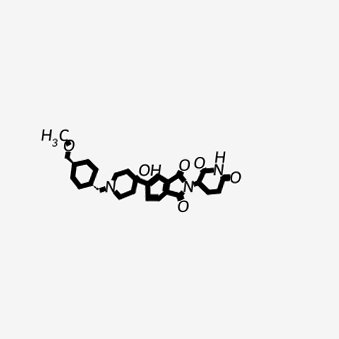 COC[C@H]1CC[C@H](CN2CCC(O)(c3ccc4c(c3)C(=O)N(C3CCC(=O)NC3=O)C4=O)CC2)CC1